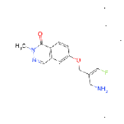 Cn1ncc2cc(OCC(=CF)CN)ccc2c1=O